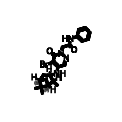 C[C@@H]1[C@H]2C[C@@H](C[C@H]1Nc1cnn(CC(=O)Nc3ccccc3)c(=O)c1Br)C2(C)C